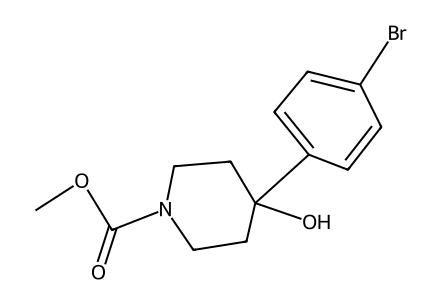 COC(=O)N1CCC(O)(c2ccc(Br)cc2)CC1